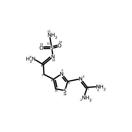 NC(N)=Nc1nc(CC(N)=NS(N)(=O)=O)cs1